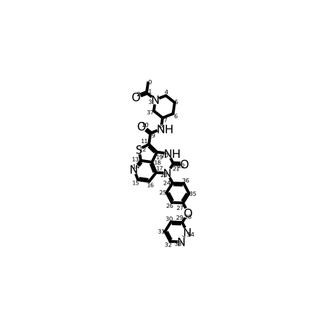 CC(=O)N1CCCC(NC(=O)c2sc3nccc4c3c2NC(=O)N4c2ccc(Oc3cccnn3)cc2)C1